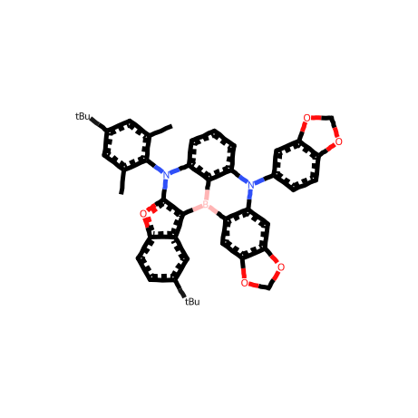 Cc1cc(C(C)(C)C)cc(C)c1N1c2cccc3c2B(c2cc4c(cc2N3c2ccc3c(c2)OCO3)OCO4)c2c1oc1ccc(C(C)(C)C)cc21